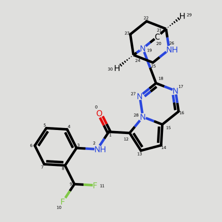 O=C(Nc1ccccc1C(F)F)c1ccc2cnc(N3C[C@H]4CC[C@@H]3CN4)nn12